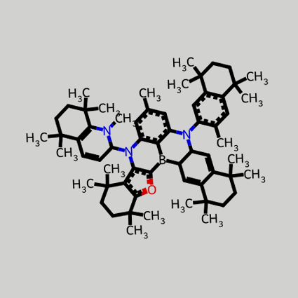 Cc1cc2c3c(c1)N(C1C=CC4=C(N1C)C(C)(C)CCC4(C)C)c1c(oc4c1C(C)(C)CCC4(C)C)B3C1C=C3C(=CC1N2c1cc2c(cc1C)C(C)(C)CCC2(C)C)C(C)(C)CCC3(C)C